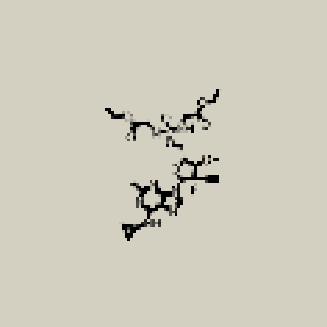 C#C[C@]1(F)C(O)[C@@H](COP(=O)(NCC(=O)OCC)NCC(=O)OCC)O[C@H]1n1cnc2c(NC3CC3)nc(C)nc21